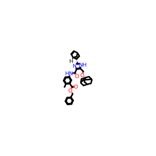 Cc1ccc(NC(=O)c2nc([C@H]3CC4C=C[C@@H]3C4)[nH]c2COC23CC4CC(CC(C4)C2)C3)cc1C(=O)OCc1ccccc1